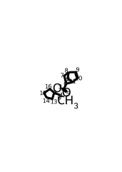 CCC1(OC(=O)C2CC3C=CC2C3)CCCC1